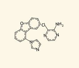 Nc1nccnc1Cl.c1ccc2c(c1)oc1cccc(-n3ccnc3)c12